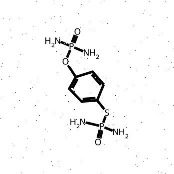 NP(N)(=O)Oc1ccc(SP(N)(N)=O)cc1